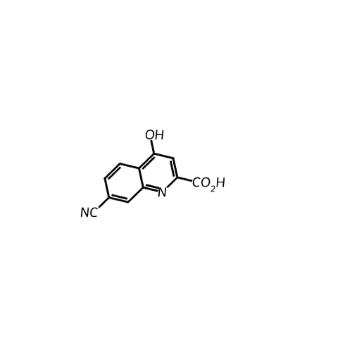 N#Cc1ccc2c(O)cc(C(=O)O)nc2c1